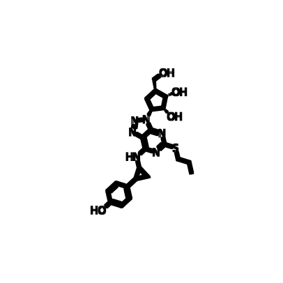 CCCSc1nc(NC2CC2c2ccc(O)cc2)c2nnn([C@H]3C[C@@H](CO)[C@H](O)[C@@H]3O)c2n1